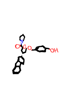 O=C(C1=C[C@@H](c2ccc3c(c2)Cc2ccccc2-3)C[C@@H](OCc2ccc(CO)cc2)O1)N1CCCCC1